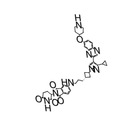 O=C1CCC(N2C(=O)c3ccc(NCCC[C@H]4C[C@H](n5cc(-c6cnc7ccc(OC8CCNCC8)cc7n6)c(C6CC6)n5)C4)cc3C2=O)C(=O)N1